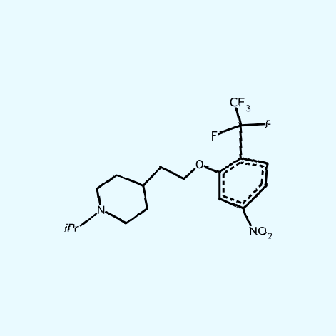 CC(C)N1CCC(CCOc2cc([N+](=O)[O-])ccc2C(F)(F)C(F)(F)F)CC1